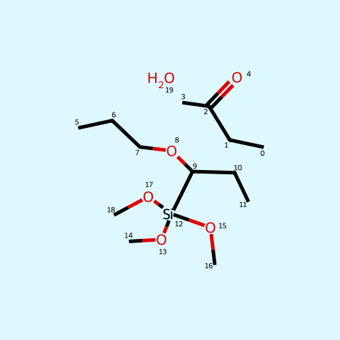 CCC(C)=O.CCCOC(CC)[Si](OC)(OC)OC.O